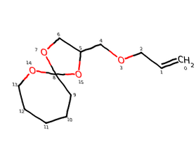 C=CCOCC1COC2(CCCCCO2)O1